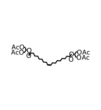 CC(=O)OCC(COC(C)=O)OC(=O)CCCCCCC/C=C\CCCCCCCC(=O)OC(COC(C)=O)COC(C)=O